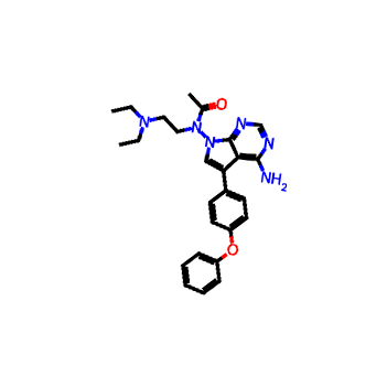 CCN(CC)CCN(C(C)=O)n1cc(-c2ccc(Oc3ccccc3)cc2)c2c(N)ncnc21